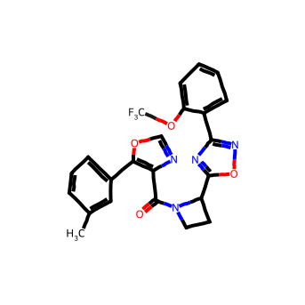 Cc1cccc(-c2ocnc2C(=O)N2CCC2c2nc(-c3ccccc3OC(F)(F)F)no2)c1